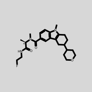 C[C@H](C(=O)NCCF)N(C)C(=O)c1ccc2c(c1)c1c(n2C)CCC(C2CCOCC2)C1